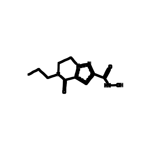 CCCN1CCn2nc(C(=O)NO)cc2C1=O